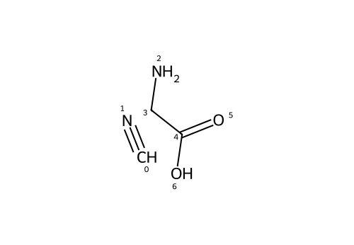 C#N.NCC(=O)O